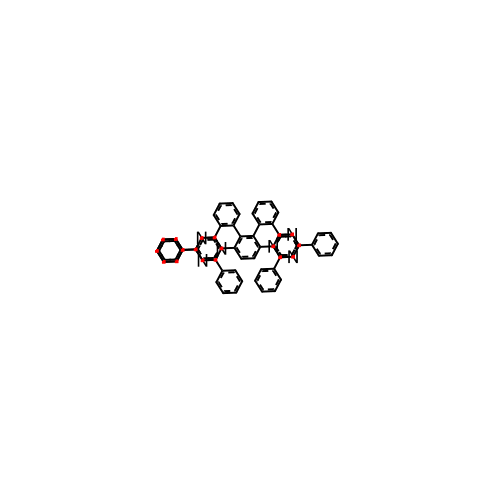 c1ccc(-c2ccc(-c3ccc(-c4ccccc4)c(-c4ccccc4-c4nc(-c5ccccc5)nc(-c5ccccc5)n4)c3-c3ccccc3-c3nc(-c4ccccc4)nc(-c4ccccc4)n3)cc2)cc1